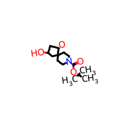 CC(C)(C)OC(=O)N1CCC2(CC1)CC(O)CC2=O